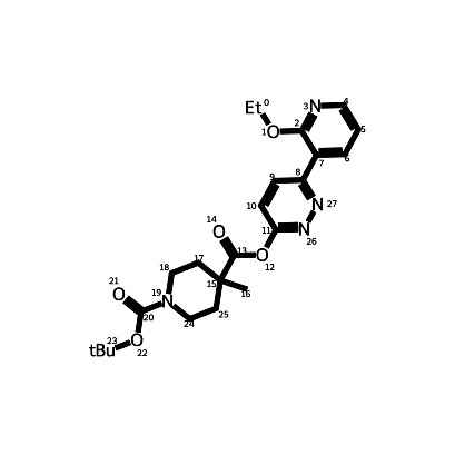 CCOc1ncccc1-c1ccc(OC(=O)C2(C)CCN(C(=O)OC(C)(C)C)CC2)nn1